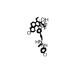 C=C(NCC#Cc1ccc([C@H]2C[C@](C)(C(O)C(F)(F)C(F)(F)F)C(CC)C3CCC4=CC(=O)CCC4=C32)cc1)Nc1ccc(Cl)cc1